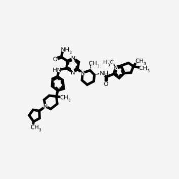 CC1CCC(N2CCC(C)(c3ccc(Nc4nc(N5CCC[C@@H](NC(=O)c6cc7c(n6C)CC(C)(C)C7)[C@H]5C)cnc4C(N)=O)cc3)CC2)C1